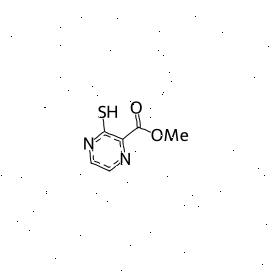 COC(=O)c1nccnc1S